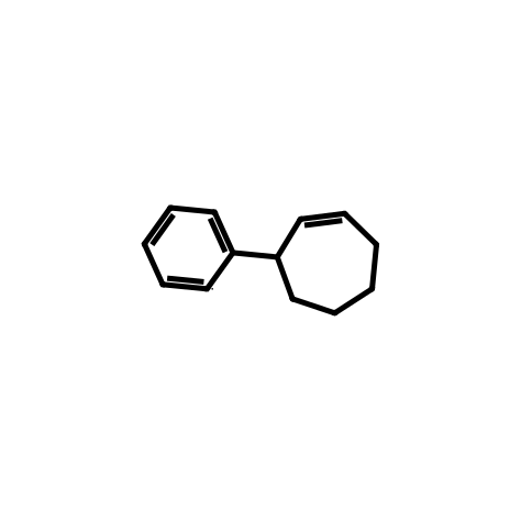 [c]1ccccc1C1C=CCCCC1